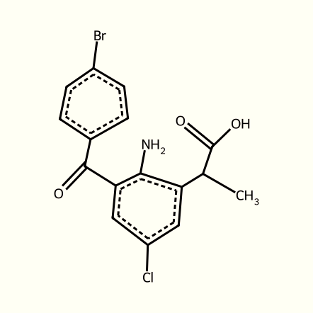 CC(C(=O)O)c1cc(Cl)cc(C(=O)c2ccc(Br)cc2)c1N